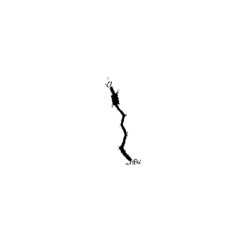 CCCCCCCCC#C[O]